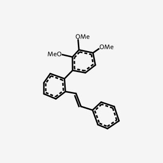 COc1ccc(-c2ccccc2C=Cc2ccccc2)c(OC)c1OC